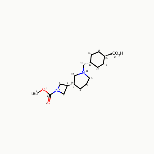 CC(C)(C)OC(=O)N1CC([C@H]2CCCN(C[C@H]3CC[C@H](C(=O)O)CC3)C2)C1